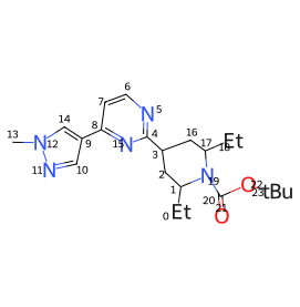 CCC1CC(c2nccc(-c3cnn(C)c3)n2)CC(CC)N1C(=O)OC(C)(C)C